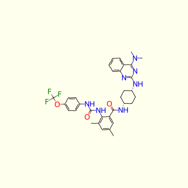 Cc1cc(C)c(NC(=O)Nc2ccc(OC(F)(F)F)cc2)c(C(=O)N[C@H]2CC[C@@H](Nc3nc(N(C)C)c4ccccc4n3)CC2)c1